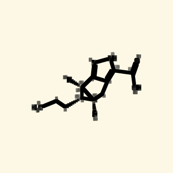 CCC[C@H]1[C@@H]2Cc3c(n[nH]c3C(=O)O)[C@H]12